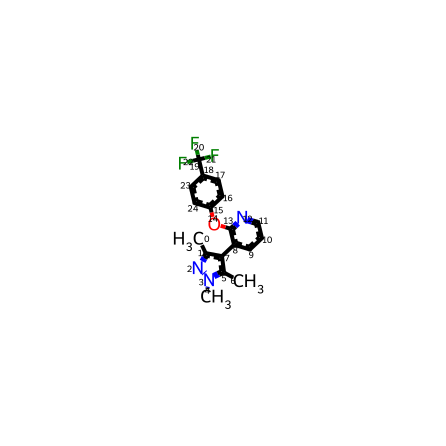 Cc1nn(C)c(C)c1-c1cccnc1Oc1ccc(C(F)(F)F)cc1